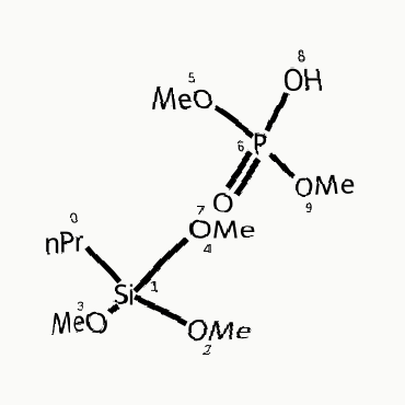 CCC[Si](OC)(OC)OC.COP(=O)(O)OC